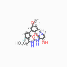 Cn1ccc(O)c(NC(=O)NC(CC(=O)O)c2cc(-c3cccc(OC(F)(F)F)c3)ccc2F)c1=O